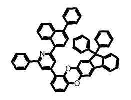 c1ccc(-c2cc(-c3cccc4c3Oc3cc5c(cc3O4)-c3ccccc3C5(c3ccccc3)c3ccccc3)cc(-c3ccc(-c4ccccc4)c4ccccc34)n2)cc1